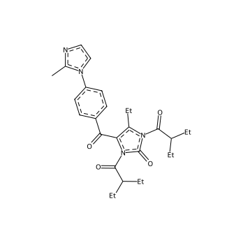 CCc1c(C(=O)c2ccc(-n3ccnc3C)cc2)n(C(=O)C(CC)CC)c(=O)n1C(=O)C(CC)CC